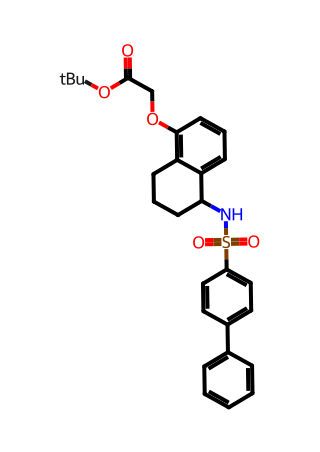 CC(C)(C)OC(=O)COc1cccc2c1CCCC2NS(=O)(=O)c1ccc(-c2ccccc2)cc1